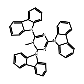 CN1C(n2c3ccccc3c3ccccc32)=NC(n2c3ccccc3c3ccccc32)=NC1n1c2ccccc2c2ccccc21